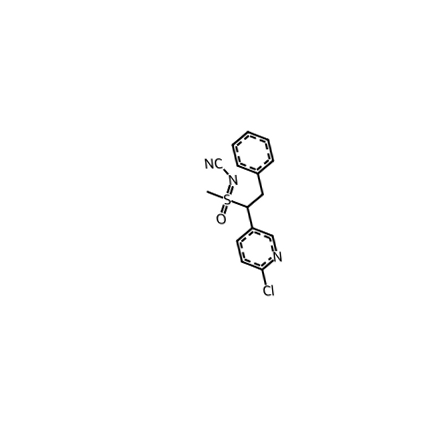 CS(=O)(=NC#N)C(Cc1ccccc1)c1ccc(Cl)nc1